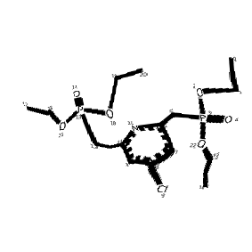 CCOP(=O)(Cc1cc(Cl)cc(CP(=O)(OCC)OCC)n1)OCC